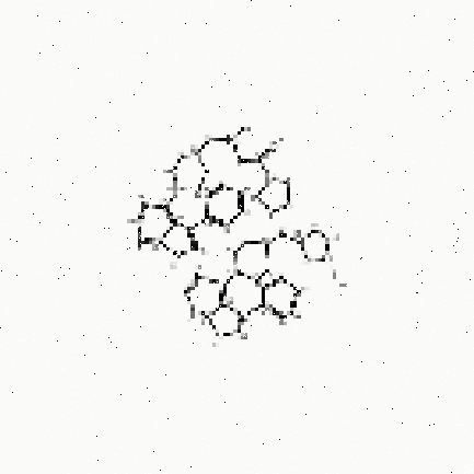 CN(CC(=O)N1CCCC1)CC1CCN(c2ncnc3scc(-c4ccccc4)c23)CC1.F[C@H]1CCN(CC2CCN(c3ncnc4scc(-c5ccccc5)c34)CC2)C1